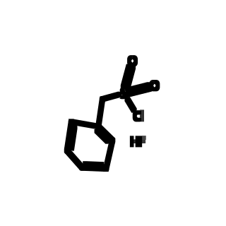 F.O=S(=O)(Cl)Cc1ccccc1